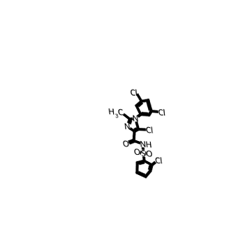 Cc1nc(C(=O)NS(=O)(=O)c2ccccc2Cl)c(Cl)n1-c1cc(Cl)cc(Cl)c1